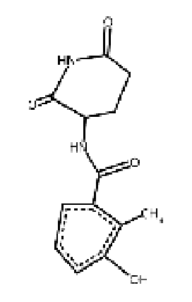 Cc1c(O)cccc1C(=O)NC1CCC(=O)NC1=O